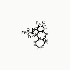 CCS(=O)(=O)c1nc2c3c(nc(Cl)c(F)c3n1)CC[C@H]1COCCCN21